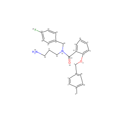 Cc1ccc(COc2ccccc2C(=O)N(CCCN)Cc2ccc(F)cc2)cc1